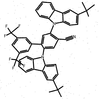 CC(C)(C)c1ccc2c(c1)c1ccccc1n2-c1cc(-c2cc(C(F)(F)F)cc(C(F)(F)F)c2)c(-n2c3ccccc3c3cc(C(C)(C)C)ccc32)cc1C#N